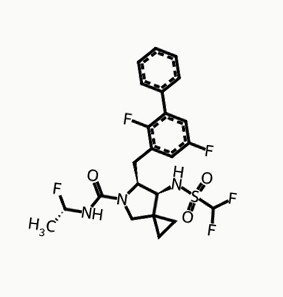 C[C@H](F)NC(=O)N1CC2(CC2)[C@H](NS(=O)(=O)C(F)F)[C@@H]1Cc1cc(F)cc(-c2ccccc2)c1F